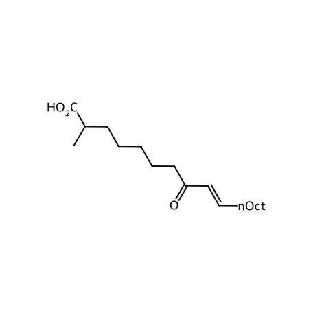 CCCCCCCCC=CC(=O)CCCCCC(C)C(=O)O